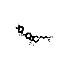 Cn1c2c(c3ccc(Nc4ccc(F)c(F)c4)cc31)CN(CCCS(=O)O)CC2